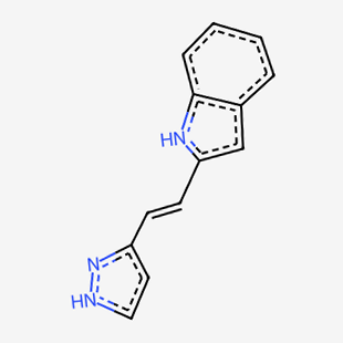 C(=C\c1cc2ccccc2[nH]1)/c1cc[nH]n1